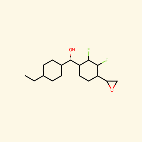 CCC1CCC([C@H](O)C2CCC(C3CO3)C(F)C2F)CC1